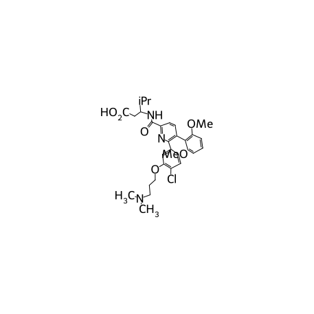 COc1cccc(OC)c1-c1ccc(C(=O)NC(CC(=O)O)C(C)C)nc1-c1ccc(Cl)c(OCCCN(C)C)c1